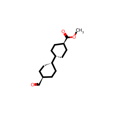 COC(=O)[C@H]1CC[C@H]([C@H]2CC[C@H](C=O)CC2)CC1